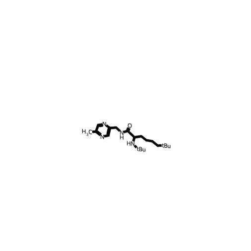 Cc1cnc(CNC(=O)C(CCCCC(C)(C)C)NC(C)(C)C)cn1